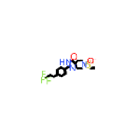 C=C[S+]([O-])N1CCC2(CC1)N=C(C1CCC(CCC(F)(F)F)CC1)NC2=O